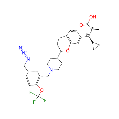 C[C@H](C(=O)O)[C@H](c1ccc2c(c1)OC(C1CCN(Cc3cc(CN=[N+]=[N-])ccc3OC(F)(F)F)CC1)CC2)C1CC1